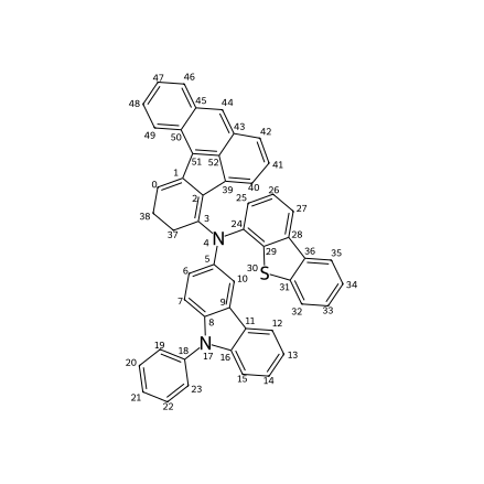 C1=C2C(=C(N(c3ccc4c(c3)c3ccccc3n4-c3ccccc3)c3cccc4c3sc3ccccc34)CC1)c1cccc3cc4ccccc4c2c13